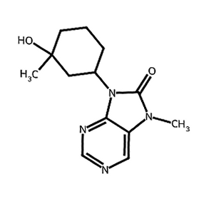 Cn1c(=O)n(C2CCCC(C)(O)C2)c2ncncc21